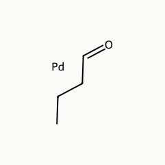 CCCC=O.[Pd]